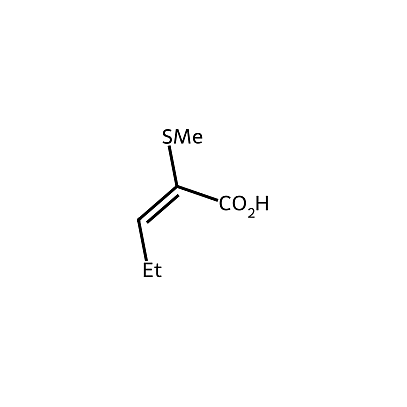 CC/C=C(/SC)C(=O)O